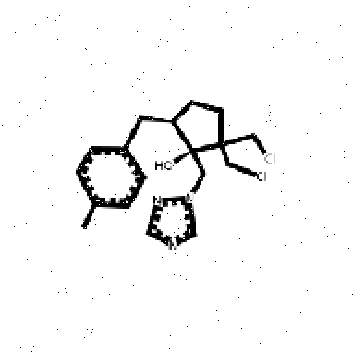 Cc1ccc(C[C@H]2CCC(CCl)(CCl)[C@]2(O)Cn2cncn2)cc1